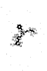 CC(C)(CO)C(=O)SCCOP(=O)(NCc1ccccc1)OCC1OC(c2cc(N)nc(=O)[nH]2)C(C)(O)C1O